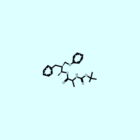 CC(NC(=O)OC(C)(C)C)C(=O)O[C@@H](C)[C@H](COc1ccccc1)Cc1ccccc1